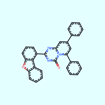 O=c1nc(-c2cccc3oc4ccccc4c23)nc2cc(-c3ccccc3)cc(-c3ccccc3)n12